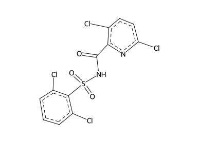 O=C(NS(=O)(=O)c1c(Cl)cccc1Cl)c1nc(Cl)ccc1Cl